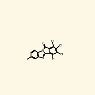 Cc1ccc2c(c1)nc1n2C(=O)c2c(Cl)c(Cl)c(Cl)c(Cl)c2-1